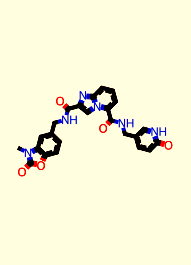 Cn1c(=O)oc2ccc(CNC(=O)c3cn4c(C(=O)NCc5ccc(=O)[nH]c5)cccc4n3)cc21